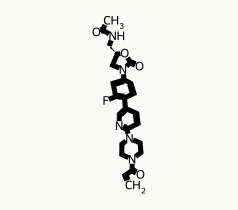 C=CC(=O)N1CCN(c2ccc(-c3ccc(N4C[C@H](CNC(C)=O)OC4=O)cc3F)cn2)CC1